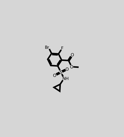 COC(=O)c1c(S(=O)(=O)NC2CC2)ccc(Br)c1F